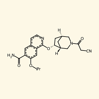 CC(C)Oc1cc2c(O[C@@H]3C[C@@H]4C[C@@H]3CN(C(=O)CC#N)C4)nccc2cc1C(N)=O